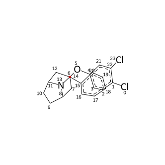 Clc1ccc(OC2CC3CCC(C2)N3Cc2ccccc2)cc1Cl